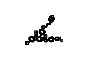 Cc1ccc(OC(=O)N2CCc3c([nH]c4ccc(Cl)cc34)C2c2ccc(OCCCN3CCOCC3)cc2)cc1